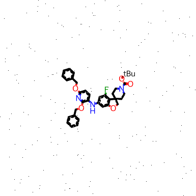 CC(C)(C)OC(=O)N1CCC2(CC1)COc1cc(Nc3ccc(OCc4ccccc4)nc3OCc3ccccc3)cc(F)c12